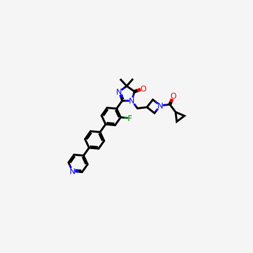 CC1(C)N=C(c2ccc(-c3ccc(-c4ccncc4)cc3)cc2F)N(CC2CN(C(=O)C3CC3)C2)C1=O